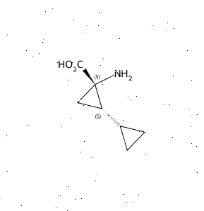 N[C@@]1(C(=O)O)C[C@H]1C1CC1